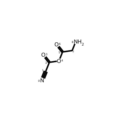 N#CC(=O)OC(=O)CN